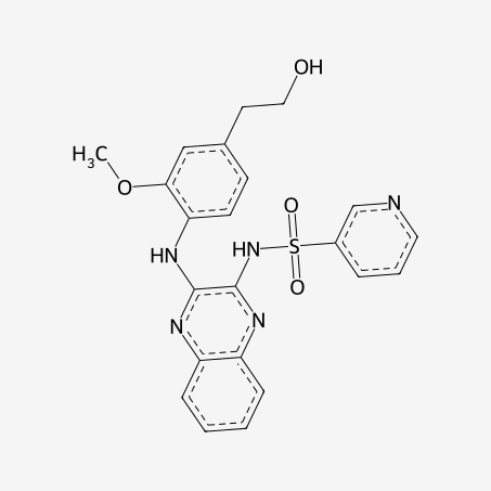 COc1cc(CCO)ccc1Nc1nc2ccccc2nc1NS(=O)(=O)c1cccnc1